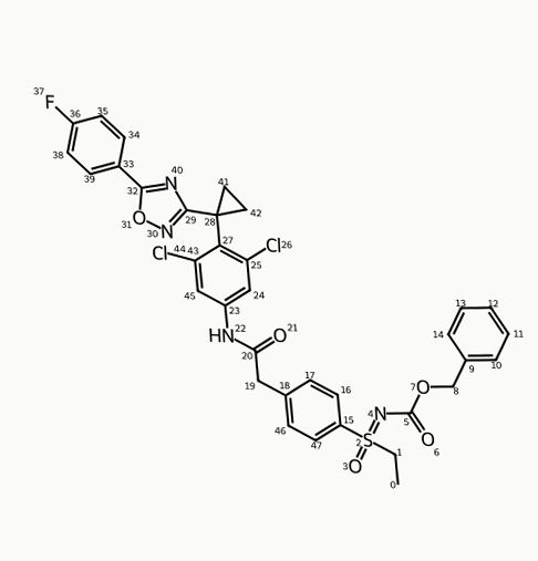 CCS(=O)(=NC(=O)OCc1ccccc1)c1ccc(CC(=O)Nc2cc(Cl)c(C3(c4noc(-c5ccc(F)cc5)n4)CC3)c(Cl)c2)cc1